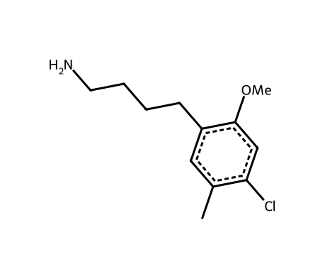 COc1cc(Cl)c(C)cc1CCCCN